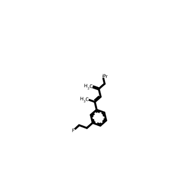 C=C(/C=C(\C)c1cccc(CCF)c1)CC(C)C